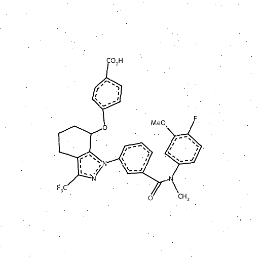 COc1cc(N(C)C(=O)c2cccc(-n3nc(C(F)(F)F)c4c3C(Oc3ccc(C(=O)O)cc3)CCC4)c2)ccc1F